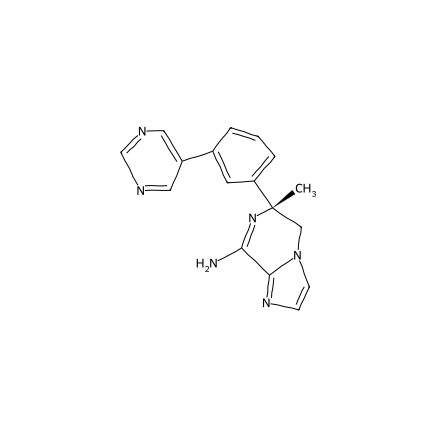 C[C@@]1(c2cccc(-c3cncnc3)c2)Cn2ccnc2C(N)=N1